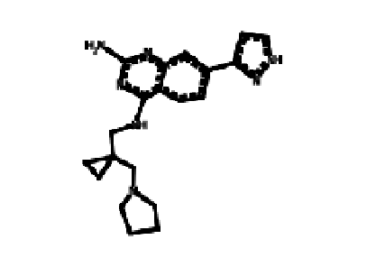 Nc1nc(NCC2(CN3CCCC3)CC2)c2ccc(-c3cc[nH]n3)cc2n1